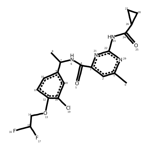 Cc1cc(C(=O)NC(C)c2ccc(OCC(F)F)c(Cl)c2)nc(NC(=O)C2CC2)n1